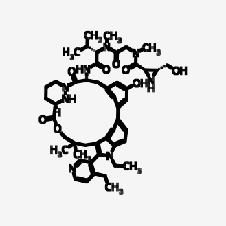 CCc1ccncc1-c1c2c3cc(ccc3n1CC)-c1cc(O)cc(c1)C[C@H](NC(=O)[C@H](C(C)C)N(C)C(=O)CN(C)C(=O)[C@@H]1N[C@H]1CO)C(=O)N1CCC[C@H](N1)C(=O)OCC(C)(C)C2